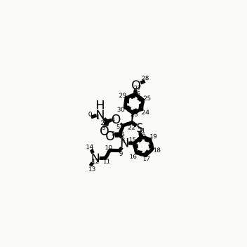 CNC(=O)O[C@@H]1C(=O)N(CCCN(C)C)c2ccccc2S[C@@H]1c1ccc(OC)cc1